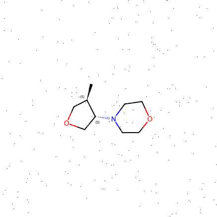 C[C@@H]1COC[C@H]1N1CCOCC1